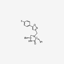 CCC(C)[C@H]1CN(Cc2cc(-c3ccc(F)cc3)on2)[C@@H](CC(C)C)C(=O)N1